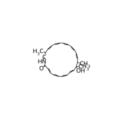 CC1\C=C/C=C\C=C/C=C\C=C/C(C)C(C)(O)/C=C/C=C\C=C/C=C/C(=O)NC1